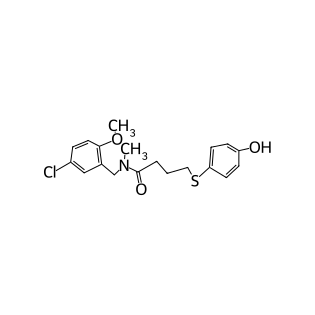 COc1ccc(Cl)cc1CN(C)C(=O)CCCSc1ccc(O)cc1